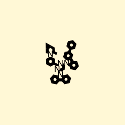 CC1CC2CC2=CN1c1cccc(-c2nc(-n3c4ccccc4c4ccccc43)cc(-n3c4ccccc4c4cc(-c5ccccc5)ccc43)n2)c1